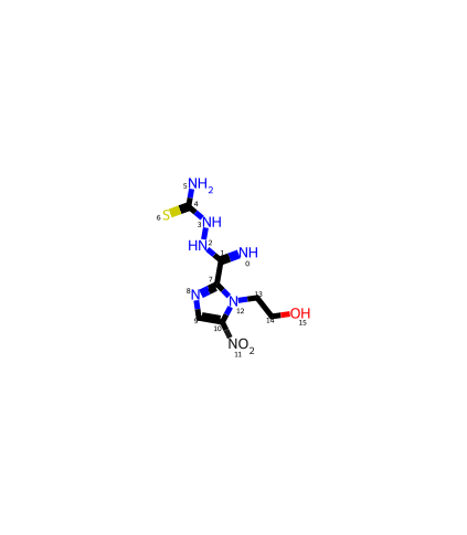 N=C(NNC(N)=S)c1ncc([N+](=O)[O-])n1CCO